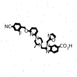 C[C@H]1CN(c2cccc(OCc3ccc(C#N)cc3F)n2)CCN1Cc1nc2ccc(C(=O)O)cc2n1Cc1ncco1